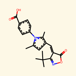 Cc1cc(C=C2C(=O)ON=C2C(C)(C)C)c(C)n1-c1ccc(C(=O)O)cc1